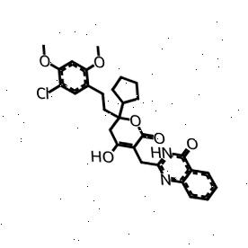 COc1cc(OC)c(CCC2(C3CCCC3)CC(O)=C(Cc3nc4ccccc4c(=O)[nH]3)C(=O)O2)cc1Cl